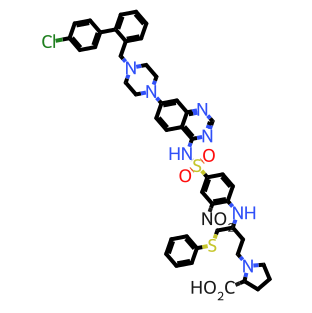 O=C(O)C1CCCN1CCC(CSc1ccccc1)Nc1ccc(S(=O)(=O)Nc2ncnc3cc(N4CCN(Cc5ccccc5-c5ccc(Cl)cc5)CC4)ccc23)cc1[N+](=O)[O-]